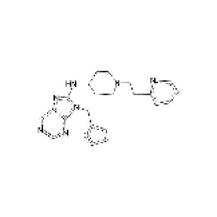 c1ccc(CCN2CCC(Nc3nc4cncnc4n3Cc3ccco3)CC2)nc1